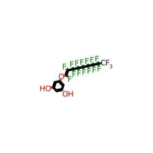 Oc1cc(O)cc(OC(F)=C(F)C(F)(F)C(F)(F)C(F)(F)C(F)(F)C(F)(F)C(F)(F)C(F)(F)F)c1